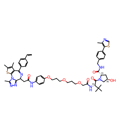 C=Cc1ccc(C2=NC(CC(=O)Nc3ccc(OCCCOCCCOCC(=O)N[C@H](C(=O)N4C[C@H](O)C[C@H]4C(=O)NCc4ccc(-c5scnc5C)cc4)C(C)(C)C)cc3)c3nnc(C)n3-c3sc(C)c(C)c32)cc1